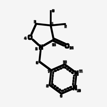 CC1(C)CON(Cc2ccnnc2)C1=O